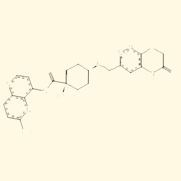 Cc1ccc2nccc(NC(=O)[C@]3(O)CC[C@@H](NCc4cc5c(nn4)SCC(=O)N5)CC3)c2n1